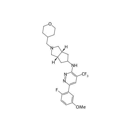 COc1ccc(F)c(-c2cc(C(F)(F)F)c(NC3C[C@@H]4CN(CC5CCOCC5)C[C@@H]4C3)nn2)c1